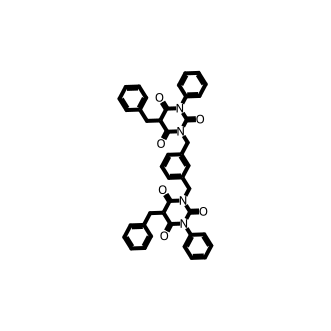 O=C1C(Cc2ccccc2)C(=O)N(c2ccccc2)C(=O)N1Cc1cccc(CN2C(=O)C(Cc3ccccc3)C(=O)N(c3ccccc3)C2=O)c1